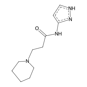 O=C(CCN1CCCCC1)Nc1cc[nH]n1